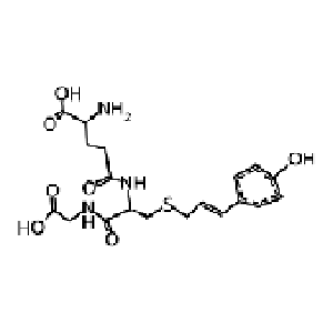 N[C@@H](CCC(=O)N[C@@H](CSC/C=C/c1ccc(O)cc1)C(=O)NCC(=O)O)C(=O)O